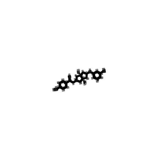 O=C(CN1C[C@H]2C[C@@H](Oc3cncc(Cl)c3)C[C@H]2C1)c1ccc(O)cc1